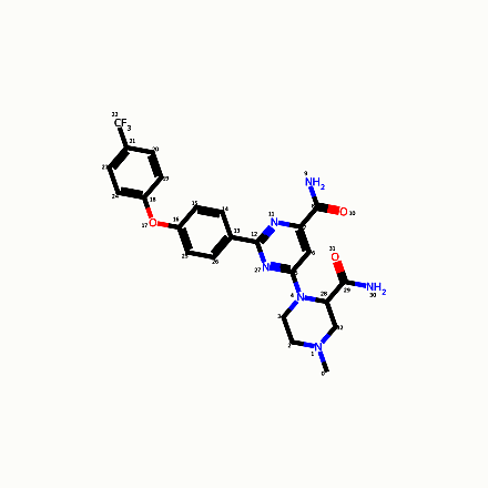 CN1CCN(c2cc(C(N)=O)nc(-c3ccc(Oc4ccc(C(F)(F)F)cc4)cc3)n2)C(C(N)=O)C1